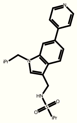 CC(C)Cn1cc(CNS(=O)(=O)C(C)C)c2ccc(-c3ccncc3)cc21